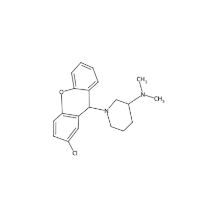 CN(C)C1CCCN(C2c3ccccc3Oc3ccc(Cl)cc32)C1